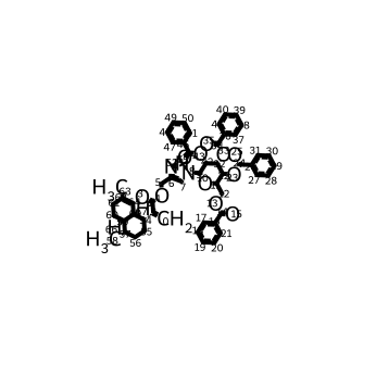 C=C(C(=O)OCc1cn(C2OC(COC(=O)c3ccccc3)C(OC(=O)c3ccccc3)C(OC(=O)c3ccccc3)C2OC(=O)c2ccccc2)nn1)[C@@H]1CC[C@@H](C)[C@@H]2CCC(C)=C[C@@H]21